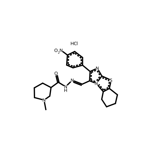 CN1CCCC(C(=O)NN=Cc2c(-c3ccc([N+](=O)[O-])cc3)nc3sc4c(n23)CCCC4)C1.Cl